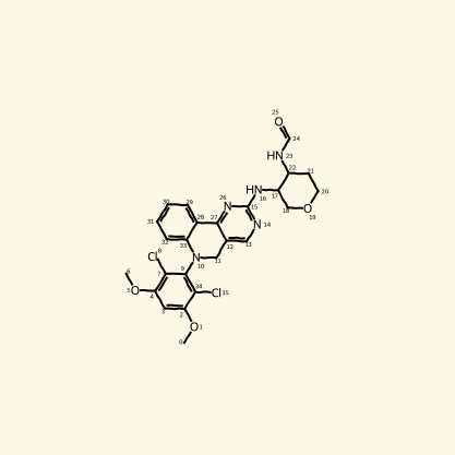 COc1cc(OC)c(Cl)c(N2Cc3cnc(NC4COCCC4NC=O)nc3-c3ccccc32)c1Cl